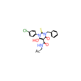 CC(=O)CNC(=O)c1c(O)n(-c2ccc(Cl)cc2)c(=S)n(Cc2ccccc2)c1=O